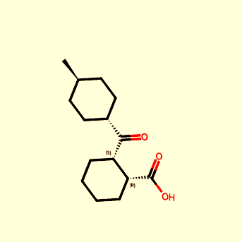 C[C@H]1CC[C@H](C(=O)[C@H]2CCCC[C@H]2C(=O)O)CC1